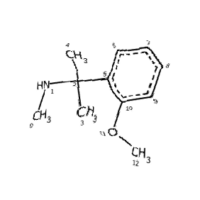 CNC(C)(C)c1ccccc1OC